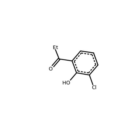 CCC(=O)c1cccc(Cl)c1O